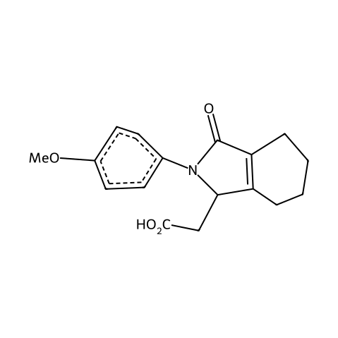 COc1ccc(N2C(=O)C3=C(CCCC3)C2CC(=O)O)cc1